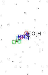 CC(C)CC(COc1cc(F)c(-c2ccc(Cl)cc2Cl)c(F)c1)Nc1ccc(C(=O)NCCC(=O)O)cc1